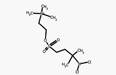 CC(C)(CCS(=O)(=O)OCC[N+](C)(C)C)N(Cl)Cl